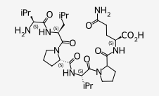 CC(C)C[C@H](NC(=O)[C@@H](N)C(C)C)C(=O)N1CCC[C@H]1C(=O)N[C@H](C(=O)N1CCCC1C(=O)N[C@@H](CCC(N)=O)C(=O)O)C(C)C